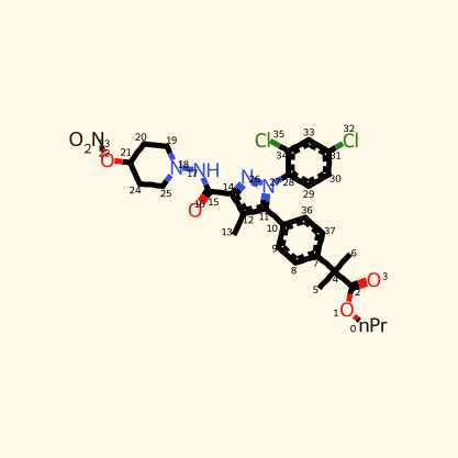 CCCOC(=O)C(C)(C)c1ccc(-c2c(C)c(C(=O)NN3CCC(O[N+](=O)[O-])CC3)nn2-c2ccc(Cl)cc2Cl)cc1